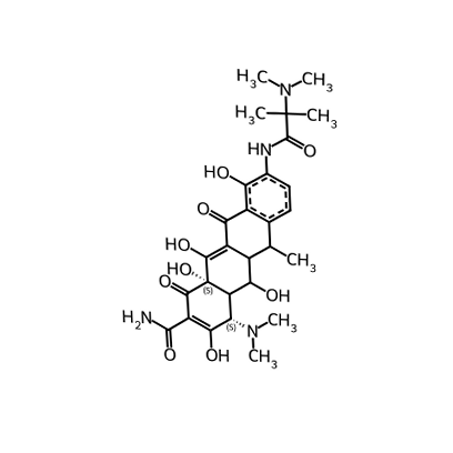 CC1c2ccc(NC(=O)C(C)(C)N(C)C)c(O)c2C(=O)C2=C(O)[C@]3(O)C(=O)C(C(N)=O)=C(O)[C@@H](N(C)C)C3C(O)C21